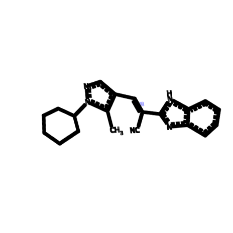 Cc1c(/C=C(\C#N)c2nc3ccccc3[nH]2)cnn1C1CCCCC1